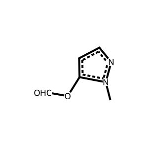 Cn1nccc1OC=O